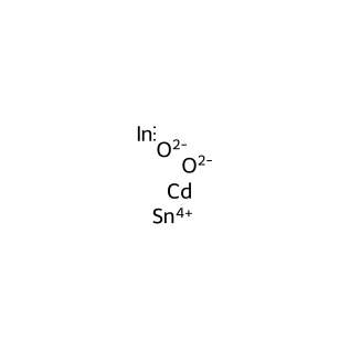 [Cd].[In].[O-2].[O-2].[Sn+4]